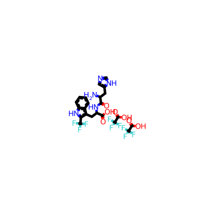 NC(Cc1cnc[nH]1)C(=O)NC(Cc1c(C(F)(F)F)[nH]c2ccccc12)C(=O)O.O=C(O)C(F)(F)F.O=C(O)C(F)(F)F